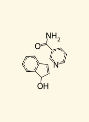 NC(=O)c1cccnc1.OC1C=Cc2ccccc21